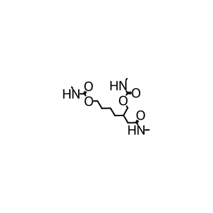 CNC(=O)CC(CCCCOC(=O)NC)COC(=O)NC